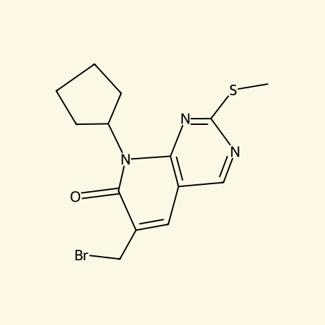 CSc1ncc2cc(CBr)c(=O)n(C3CCCC3)c2n1